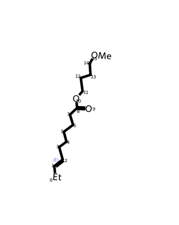 CC/C=C/CCCCCC(=O)OCCCCOC